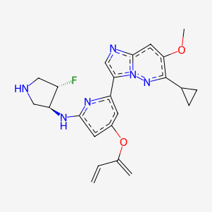 C=CC(=C)Oc1cc(N[C@H]2CNC[C@@H]2F)nc(-c2cnc3cc(OC)c(C4CC4)nn23)c1